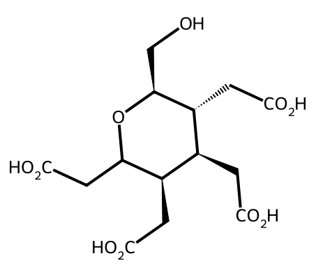 O=C(O)CC1O[C@@H](CO)[C@H](CC(=O)O)[C@@H](CC(=O)O)[C@H]1CC(=O)O